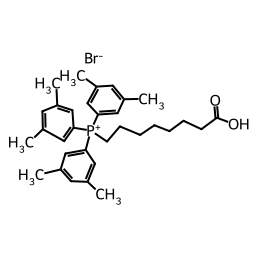 Cc1cc(C)cc([P+](CCCCCCCC(=O)O)(c2cc(C)cc(C)c2)c2cc(C)cc(C)c2)c1.[Br-]